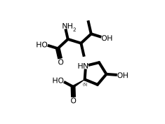 CC(O)C(C)C(N)C(=O)O.O=C(O)[C@@H]1CC(O)CN1